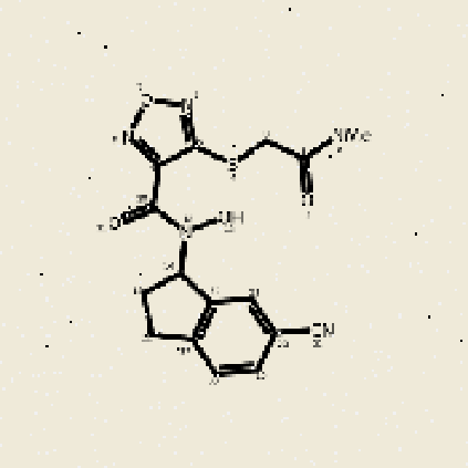 CNC(=O)CSc1nonc1C(=O)N(O)C1CCc2ccc(C#N)cc21